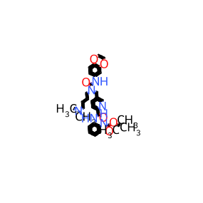 CN(C)CCCCN(Cc1ccc(C(=O)Nc2ccccc2NC(=O)OC(C)(C)C)nc1)C(=O)Nc1ccc2c(c1)OCCO2